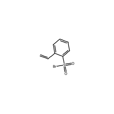 C=Cc1ccccc1S(=O)(=O)Br